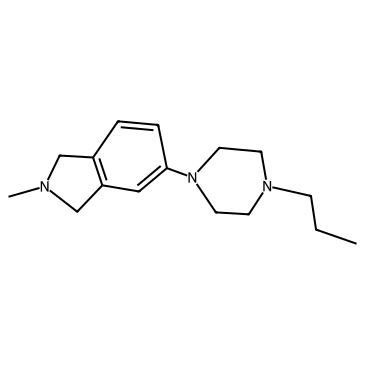 CCCN1CCN(c2ccc3c(c2)CN(C)C3)CC1